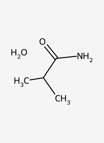 CC(C)C(N)=O.O